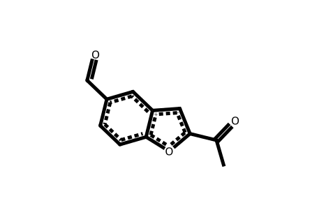 CC(=O)c1cc2cc(C=O)ccc2o1